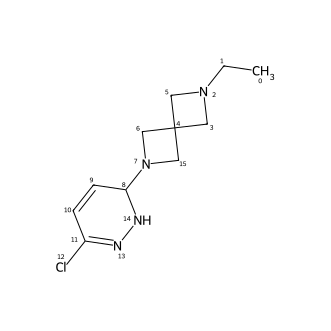 CCN1CC2(C1)CN(C1C=CC(Cl)=NN1)C2